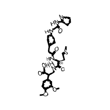 COc1ccc(C(CNC(=O)[C@H](CCSC)NC(=O)Cc2ccc(NC(=O)Nc3ccccn3)cc2)C(=O)O)cc1OC